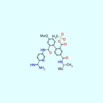 COc1ccc(-c2ccc(C(=O)NC(C)C(C)(C)C)cc2C(=O)OS(C)(=O)=O)c(C(=O)Nc2ccc(C(=N)N)nc2)c1